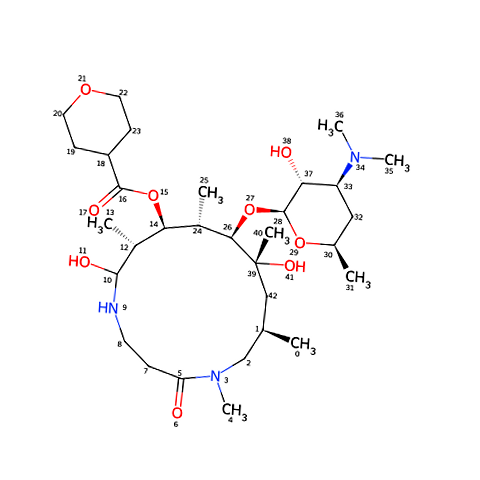 C[C@H]1CN(C)C(=O)CCNC(O)[C@H](C)[C@@H](OC(=O)C2CCOCC2)[C@H](C)[C@@H](O[C@@H]2O[C@H](C)C[C@H](N(C)C)[C@H]2O)[C@](C)(O)C1